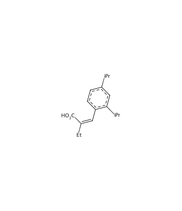 CCC(=Cc1ccc(C(C)C)cc1C(C)C)C(=O)O